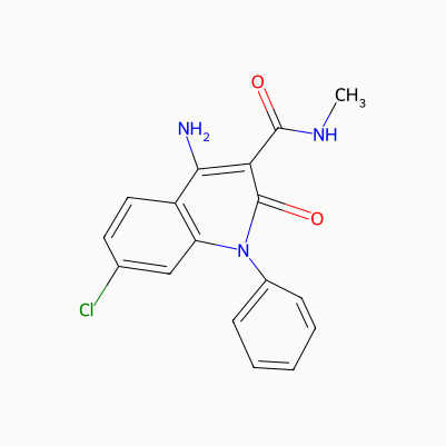 CNC(=O)c1c(N)c2ccc(Cl)cc2n(-c2ccccc2)c1=O